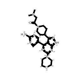 CN(C)CC(=O)N1CCC(c2n[nH]c3nc(N4CCOCC4)nc(-c4cnc(N)nc4)c23)CC1